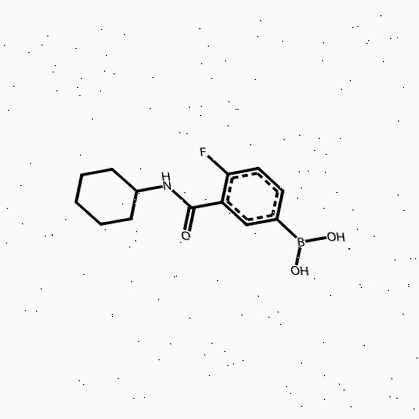 O=C(NC1CCCCC1)c1cc(B(O)O)ccc1F